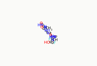 C#Cc1c(F)ccc2cc(O)cc(-c3ncc4c(N5CC6CCC(C5)N6)nc(OCC5(CN6CCC(CNc7cccc8c(C9CCC(=O)NC9=O)nn(C)c78)CC6)CC5)nc4c3F)c12